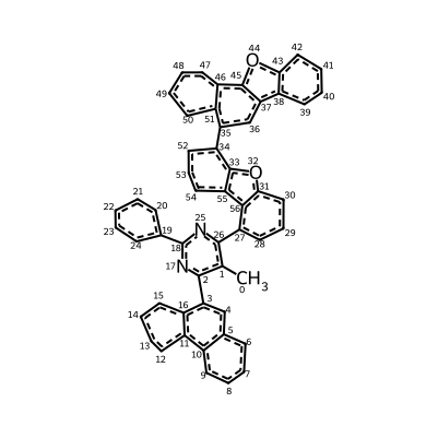 Cc1c(-c2cc3ccccc3c3ccccc23)nc(-c2ccccc2)nc1-c1cccc2oc3c(-c4cc5c6ccccc6oc5c5ccccc45)cccc3c12